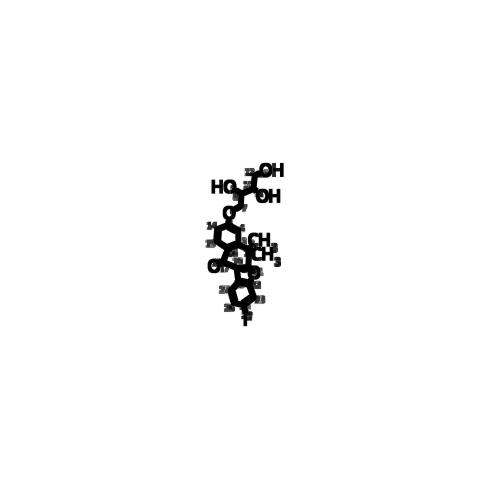 CC1(C)c2cc(OCC(O)C(O)CO)ccc2C(=O)c2c1oc1cc(F)ccc21